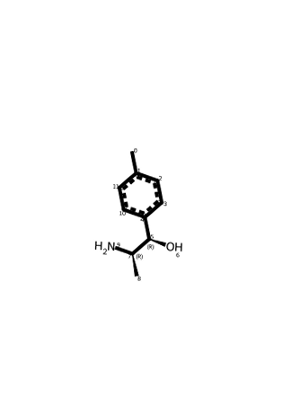 Cc1ccc([C@@H](O)[C@@H](C)N)cc1